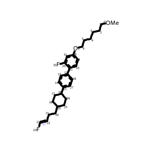 COCCCCCCOc1ccc(-c2ccc(C3CCC(CC/C=C/F)CC3)cc2)c(F)c1